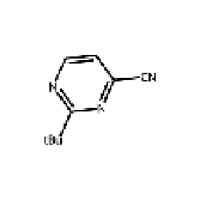 CC(C)(C)c1nccc(C#N)n1